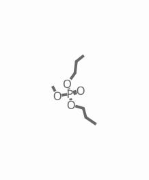 CCCOP(=O)(OC)OCCC